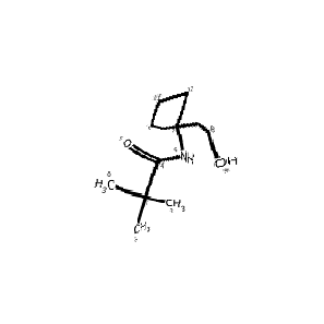 CC(C)(C)C(=O)NC1(CO)CCC1